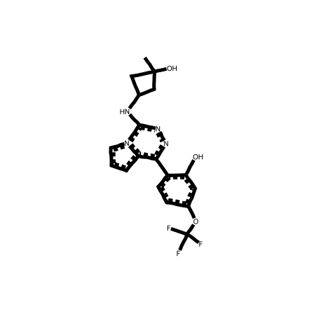 CC1(O)CC(Nc2nnc(-c3ccc(OC(F)(F)F)cc3O)c3cccn23)C1